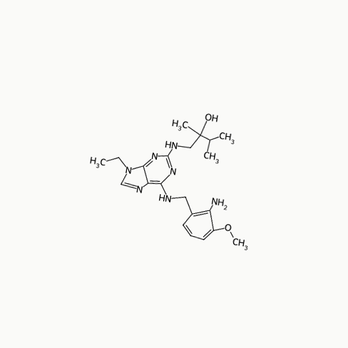 CCn1cnc2c(NCc3cccc(OC)c3N)nc(NCC(C)(O)C(C)C)nc21